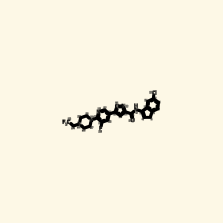 O=C(NC1=CCc2ccc(Cl)cc21)c1cc(-c2cnc(N3CCN(CC(F)(F)F)CC3)c(F)c2)on1